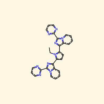 CCn1c(-c2nc(-c3ncccn3)n3ccccc23)ccc1-c1nc(-c2ncccn2)n2ccccc12